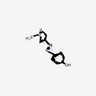 Cn1cc(/N=N/c2ccc(O)cc2)cn1